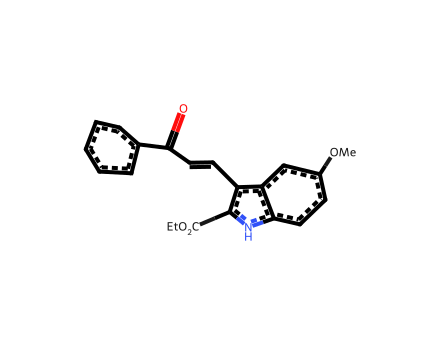 CCOC(=O)c1[nH]c2ccc(OC)cc2c1/C=C/C(=O)c1ccccc1